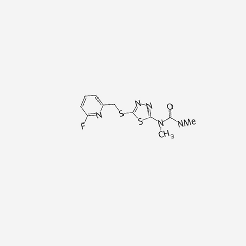 CNC(=O)N(C)c1nnc(SCc2cccc(F)n2)s1